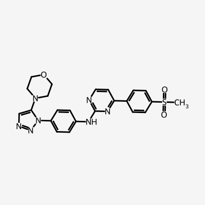 CS(=O)(=O)c1ccc(-c2ccnc(Nc3ccc(-n4nncc4N4CCOCC4)cc3)n2)cc1